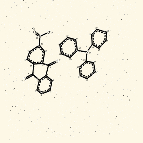 O=C1c2ccccc2C(=O)c2cc(S(=O)[O-])ccc21.c1ccc([S+](c2ccccc2)c2ccccc2)cc1